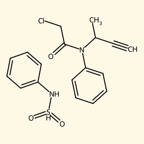 C#CC(C)N(C(=O)CCl)c1ccccc1.O=[SH](=O)Nc1ccccc1